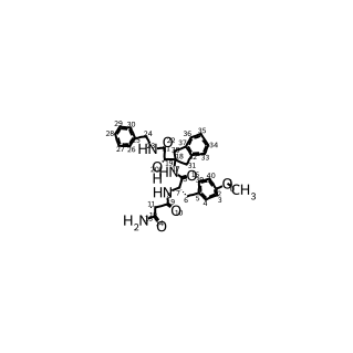 COc1ccc(C[C@H](NC(=O)[CH]C(N)=O)C(=O)NC2([C@H](O)C(=O)NCc3ccccc3)Cc3ccccc3C2)cc1